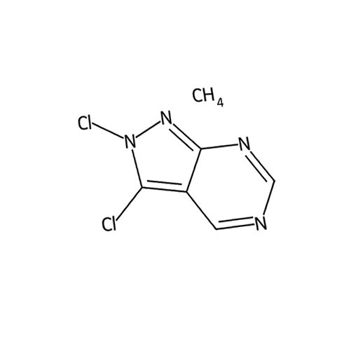 C.Clc1c2cncnc2nn1Cl